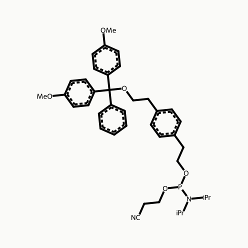 COc1ccc(C(OCCc2ccc(CCOP(OCCC#N)N(C(C)C)C(C)C)cc2)(c2ccccc2)c2ccc(OC)cc2)cc1